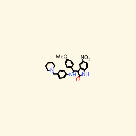 COc1ccc(/C(Nc2ccc(CN3CCCCC3)cc2)=C2/C(=O)Nc3ccc([N+](=O)[O-])cc32)cc1